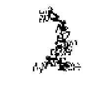 Nc1nc(C(=NOC2(C(=O)O)CC2)C(=O)N[C@@H]2C(=O)N3C(C(=O)O)=C(CSc4nc(-c5ccc(O)c(O)c5)cs4)CS[C@@H]23)cs1